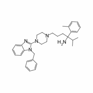 Cc1ccccc1C(N)(CCCN1CCN(c2nc3ccccc3n2Cc2ccccc2)CC1)C(C)C